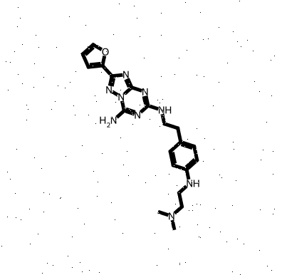 CN(C)CCNc1ccc(CCNc2nc(N)n3nc(-c4ccco4)nc3n2)cc1